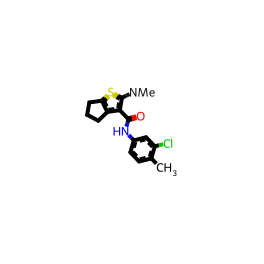 CNc1sc2c(c1C(=O)Nc1ccc(C)c(Cl)c1)CCC2